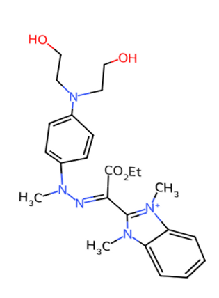 CCOC(=O)/C(=N\N(C)c1ccc(N(CCO)CCO)cc1)c1n(C)c2ccccc2[n+]1C